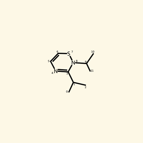 CC(C)C1=NC=CSN1C(C)C